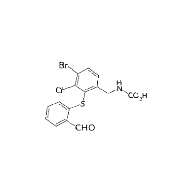 O=Cc1ccccc1Sc1c(CNC(=O)O)ccc(Br)c1Cl